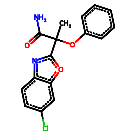 CC(Oc1ccccc1)(C(N)=O)c1nc2ccc(Cl)cc2o1